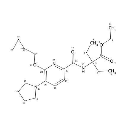 CCOC(=O)C(CC)(CC)NC(=O)c1ccc(N2CCCC2)c(OCC2CC2)n1